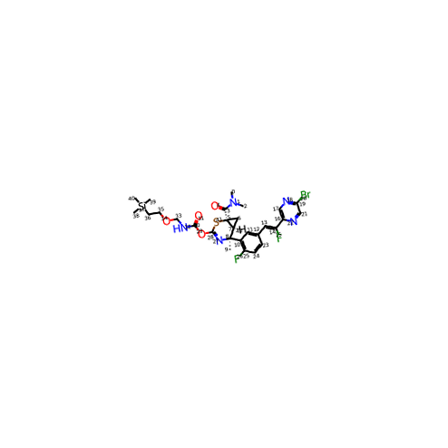 CN(C)C(=O)[C@]12C[C@H]1[C@@](C)(c1cc(/C=C(\F)c3cnc(Br)cn3)ccc1F)N=C(OC(=O)NCOCC[Si](C)(C)C)S2